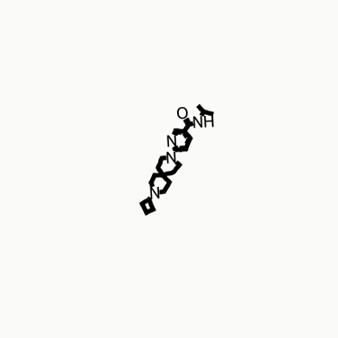 CC(C)NC(=O)c1ccc(N2CCC3(CC2)CCN(C2CCC2)CC3)nc1